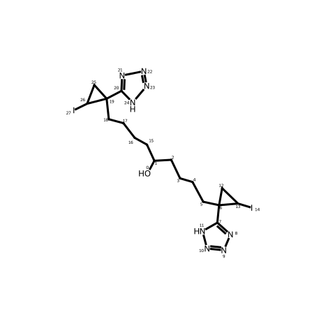 OC(CCCCC1(c2nnn[nH]2)CC1I)CCCCC1(c2nnn[nH]2)CC1I